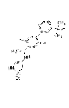 CC[C@H]1CC(NC(C)c2cc(F)c(-c3cc(C(C)(C)F)ncn3)cc2F)=CN1